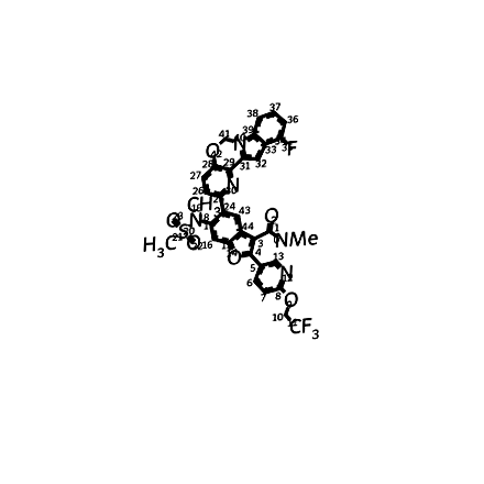 CNC(=O)c1c(-c2ccc(OCC(F)(F)F)nc2)oc2cc(N(C)S(C)(=O)=O)c(-c3ccc4c(n3)-c3cc5c(F)cccc5n3CO4)cc12